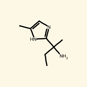 CCC(C)(N)c1ncc(C)[nH]1